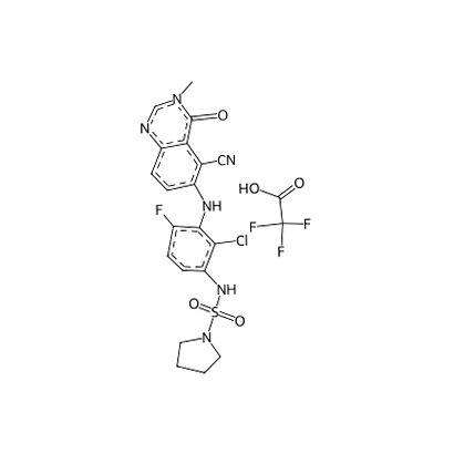 Cn1cnc2ccc(Nc3c(F)ccc(NS(=O)(=O)N4CCCC4)c3Cl)c(C#N)c2c1=O.O=C(O)C(F)(F)F